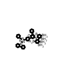 Bc1cc(B)c2c(c1B)c1c(B)c(B)cc(B)c1n2-c1cc(-c2ccccc2)c2oc3cc(-c4nc(-c5ccccc5)nc(-n5c6ccccc6c6ccccc65)n4)ccc3c2c1